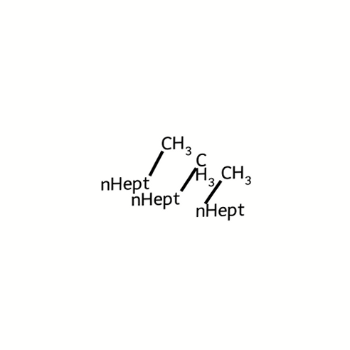 CCCCCCCC.CCCCCCCC.CCCCCCCC